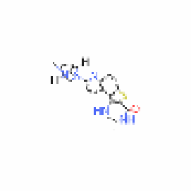 C[C@@H]1CNc2c(sc3ccc4nc(N5C[C@H]6CC[C@@H]5CN6C)ccc4c23)C(=O)N1